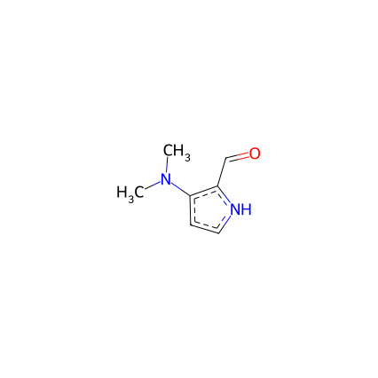 CN(C)c1cc[nH]c1C=O